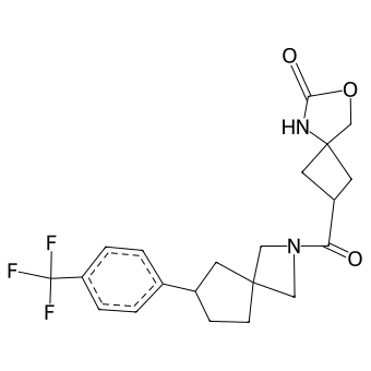 O=C1NC2(CO1)CC(C(=O)N1CC3(CCC(c4ccc(C(F)(F)F)cc4)C3)C1)C2